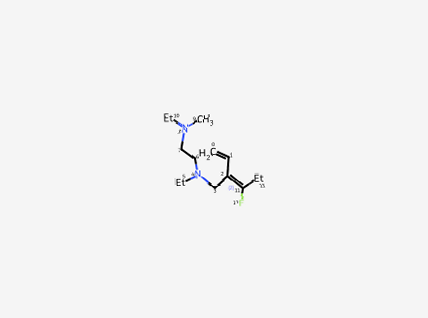 C=C/C(CN(CC)CCN(C)CC)=C(/F)CC